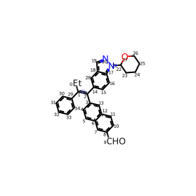 CC/C(=C(/c1ccc2cc(C=O)ccc2c1)c1ccc2c(cnn2C2CCCCO2)c1)c1ccccc1